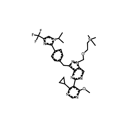 COc1ncnc(C2CC2)c1-c1ncc2c(n1)c(Cc1ccc(-c3nc(C(F)(F)F)cn3C(C)C)cc1)nn2COCC[Si](C)(C)C